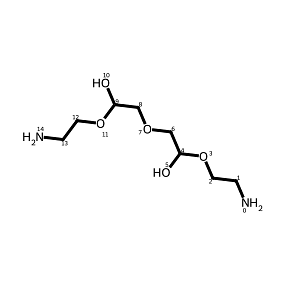 NCCOC(O)COCC(O)OCCN